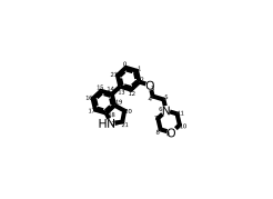 c1cc(OCCN2CCOCC2)cc(-c2cccc3c2CCN3)c1